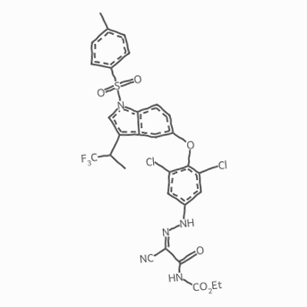 CCOC(=O)NC(=O)C(C#N)=NNc1cc(Cl)c(Oc2ccc3c(c2)c(C(C)C(F)(F)F)cn3S(=O)(=O)c2ccc(C)cc2)c(Cl)c1